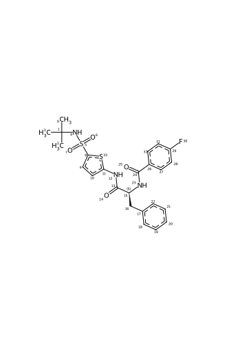 CC(C)(C)NS(=O)(=O)c1ccc(NC(=O)[C@H](Cc2ccccc2)NC(=O)c2ccc(F)cc2)s1